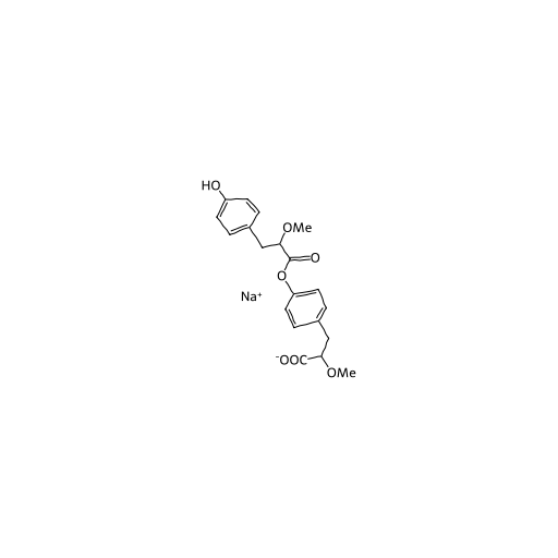 COC(Cc1ccc(OC(=O)C(Cc2ccc(O)cc2)OC)cc1)C(=O)[O-].[Na+]